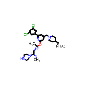 C=N/C(=C\N=C(/C)Oc1cc(CN2CCC(CNC(C)=O)CC2)cc(-c2cc(Cl)cc(Cl)c2)n1)N1CCNCC1